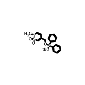 CN1C=CC(CO[Si](c2ccccc2)(c2ccccc2)C(C)(C)C)=CS1(=O)=O